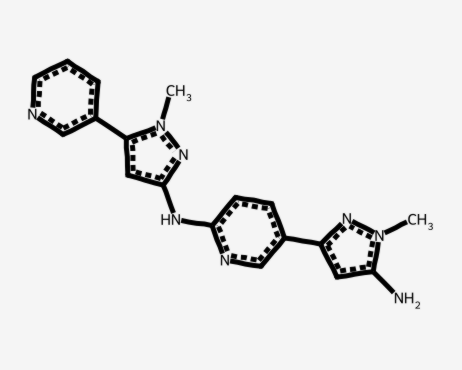 Cn1nc(-c2ccc(Nc3cc(-c4cccnc4)n(C)n3)nc2)cc1N